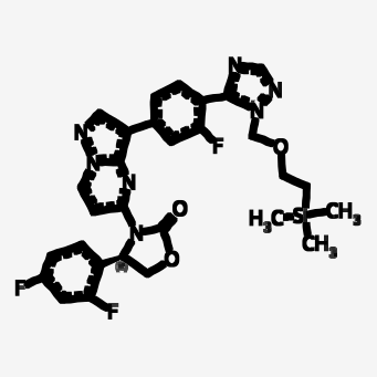 C[Si](C)(C)CCOCn1ncnc1-c1ccc(-c2cnn3ccc(N4C(=O)OC[C@H]4c4ccc(F)cc4F)nc23)cc1F